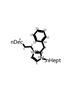 CCCCCCCCCCCC[n+]1ccn(CCCCCCC)c1Cc1ccccc1